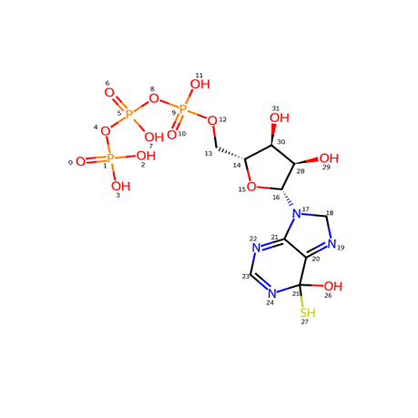 O=P(O)(O)OP(=O)(O)OP(=O)(O)OC[C@H]1O[C@@H](N2CN=C3C2=NC=NC3(O)S)[C@H](O)[C@@H]1O